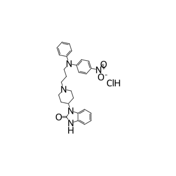 Cl.O=c1[nH]c2ccccc2n1C1CCN(CCCN(c2ccccc2)c2ccc([N+](=O)[O-])cc2)CC1